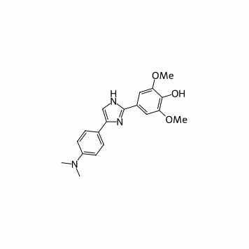 COc1cc(-c2nc(-c3ccc(N(C)C)cc3)c[nH]2)cc(OC)c1O